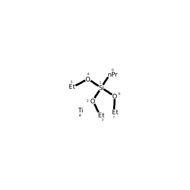 CCC[Si](OCC)(OCC)OCC.[Ti]